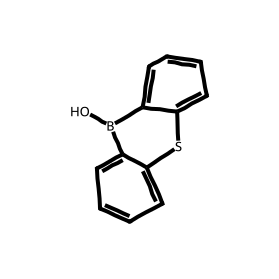 OB1c2ccccc2Sc2ccccc21